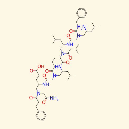 CC(C)CC(=O)N(CC(=O)N[C@@H](CC(C)C)CN(CC(=O)N[C@@H](CCC(=O)O)CN(CC(N)=O)C(=O)CCc1ccccc1)C(=O)CC(C)C)C[C@H](CC(C)C)NC(=O)CN(C[C@@H](N)CC(C)C)C(=O)CCc1ccccc1